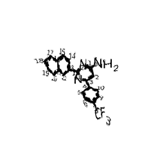 Nc1cc(-c2ccc(C(F)(F)F)cc2)nc(-c2ccc3ccccc3c2)n1